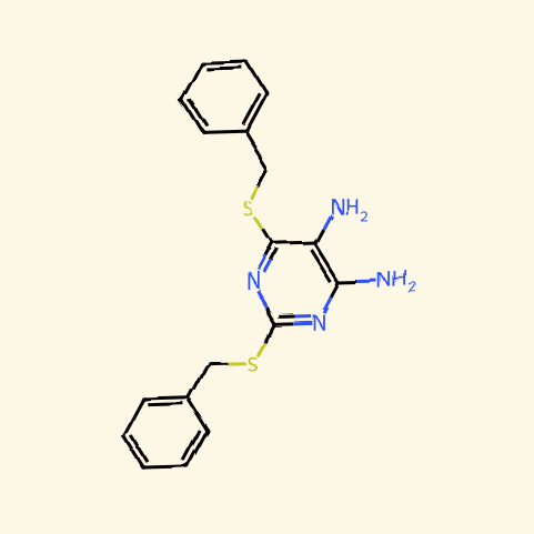 Nc1nc(SCc2ccccc2)nc(SCc2ccccc2)c1N